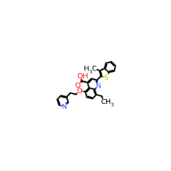 CCc1ccc(OCCc2cccnc2)c2c(C(=O)O)cc(-c3sc4ccccc4c3C)nc12